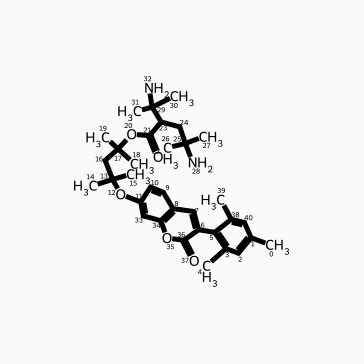 Cc1cc(C)c(-c2cc3ccc(OC(C)(C)CC(C)(C)OC(=O)C(CC(C)(C)N)C(C)(C)N)cc3oc2=O)c(C)c1